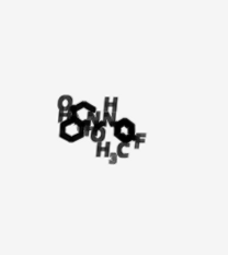 Cc1cc(NC(=O)N2CCC(=O)[C@H]3CCCC[C@@H]32)ccc1F